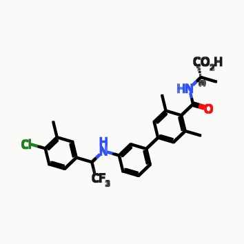 Cc1cc(C(Nc2cccc(-c3cc(C)c(C(=O)N[C@@H](C)C(=O)O)c(C)c3)c2)C(F)(F)F)ccc1Cl